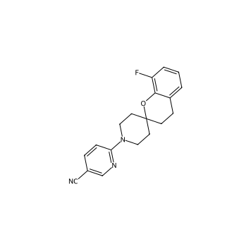 N#Cc1ccc(N2CCC3(CCc4cccc(F)c4O3)CC2)nc1